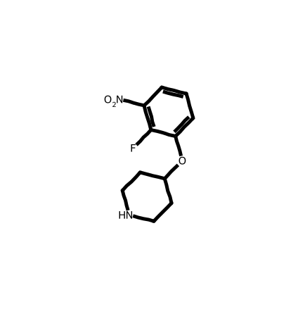 O=[N+]([O-])c1cccc(OC2CCNCC2)c1F